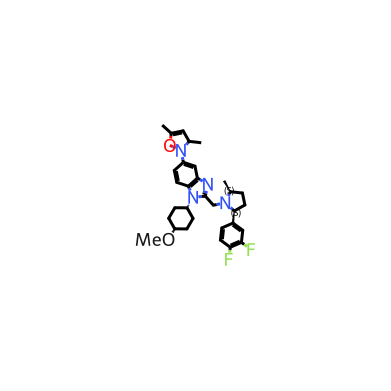 CO[C@H]1CC[C@H](n2c(CN3[C@@H](C)CC[C@H]3c3ccc(F)c(F)c3)nc3cc(N4OC(C)=CC4C)ccc32)CC1